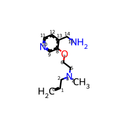 C=CCN(C)CCOc1cnccc1CN